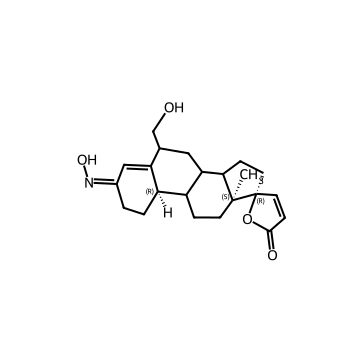 C[C@]12CCC3C(CC(CO)C4=CC(=NO)CC[C@@H]43)C1CC[C@@]21C=CC(=O)O1